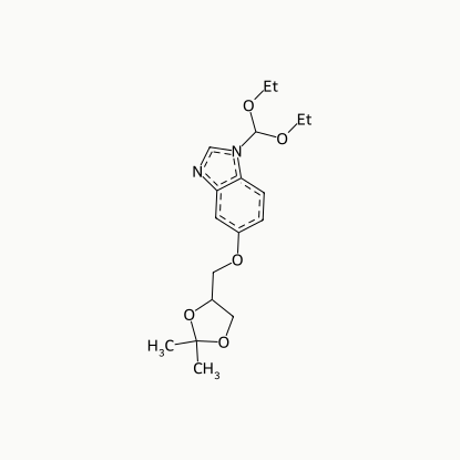 CCOC(OCC)n1cnc2cc(OCC3COC(C)(C)O3)ccc21